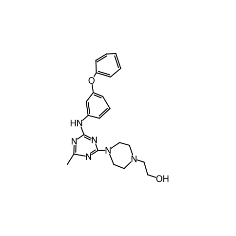 Cc1nc(Nc2cccc(Oc3ccccc3)c2)nc(N2CCN(CCO)CC2)n1